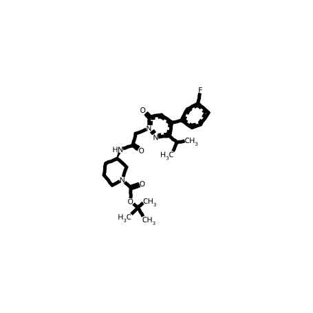 CC(C)c1nn(CC(=O)N[C@@H]2CCCN(C(=O)OC(C)(C)C)C2)c(=O)cc1-c1cccc(F)c1